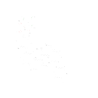 Cc1ccc(-c2ccc3ccc(C)c(-c4c(C)ccc5ccc(-c6ccc(OS(=O)(=O)C(F)(F)F)cc6)cc45)c3c2)cc1